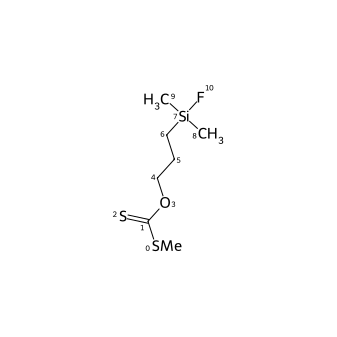 CSC(=S)OCCC[Si](C)(C)F